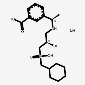 C[C@@H](NC[C@@H](O)CP(=O)(O)CC1CCCCC1)c1cccc(C(=O)O)c1.[LiH]